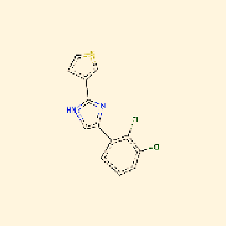 Clc1cccc(-c2c[nH]c(-c3ccsc3)n2)c1Cl